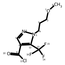 COCCCn1ncc(C(=O)Cl)c1C(F)(F)F